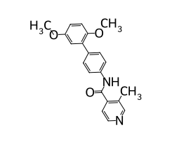 COc1ccc(OC)c(-c2ccc(NC(=O)c3ccncc3C)cc2)c1